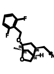 C[C@]12C[C@H](CO1)[C@H](CC#N)C[C@@H]2OCc1c(F)cccc1F